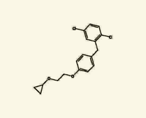 Clc1ccc(Cl)c(Cc2ccc(OCCOC3CC3)cc2)c1